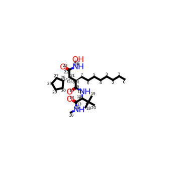 CCCCCCCC[C@@H](C(=O)N[C@H](C(=O)NC)C(C)(C)C)[C@@H](C(=O)NO)C1CCCC1